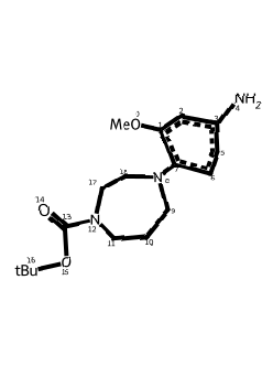 COc1cc(N)ccc1N1CCCN(C(=O)OC(C)(C)C)CC1